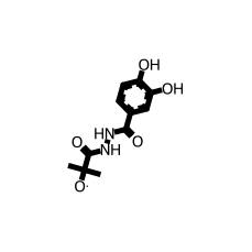 CC(C)([O])C(=O)NNC(=O)c1ccc(O)c(O)c1